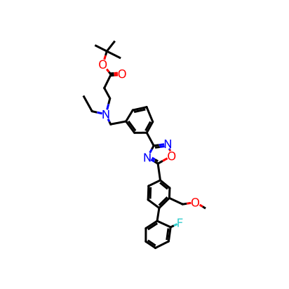 CCN(CCC(=O)OC(C)(C)C)Cc1cccc(-c2noc(-c3ccc(-c4ccccc4F)c(COC)c3)n2)c1